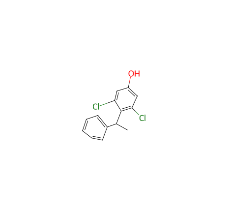 CC(c1ccccc1)c1c(Cl)cc(O)cc1Cl